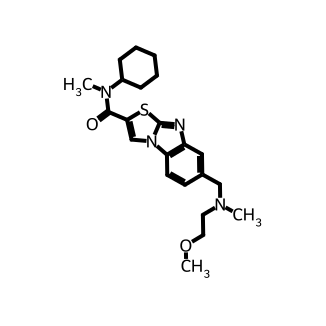 COCCN(C)Cc1ccc2c(c1)nc1sc(C(=O)N(C)C3CCCCC3)cn12